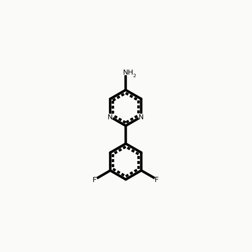 Nc1cnc(-c2cc(F)cc(F)c2)nc1